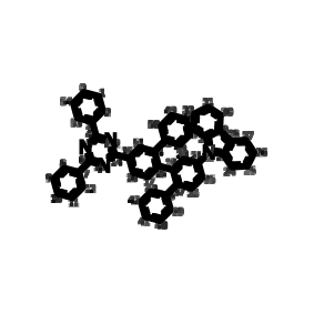 c1ccc(-c2nc(-c3ccccc3)nc(-c3ccc(-c4cc(-n5c6ccccc6c6ccccc65)ccc4-c4ccccc4)c(-c4ccccc4)c3)n2)cc1